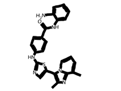 Cc1nc2c(C)cccn2c1-c1cnc(Nc2ccc(C(=O)Nc3ccccc3N)cc2)s1